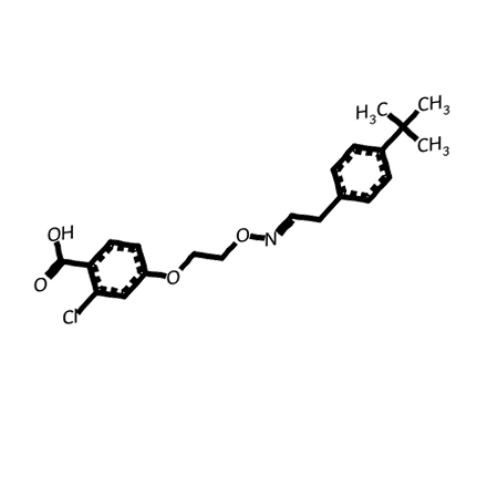 CC(C)(C)c1ccc(C/C=N/OCCOc2ccc(C(=O)O)c(Cl)c2)cc1